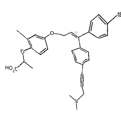 Cc1cc(OC/C=C(\c2ccc(C#CCN(C)C)cc2)c2ccc(C(C)(C)C)cc2)ccc1OC(C)C(=O)O